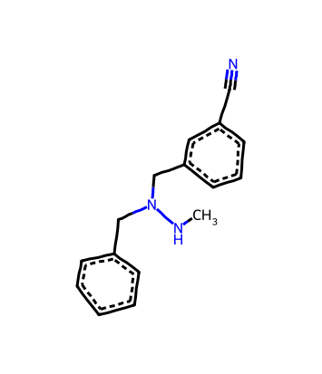 CNN(Cc1ccccc1)Cc1cccc(C#N)c1